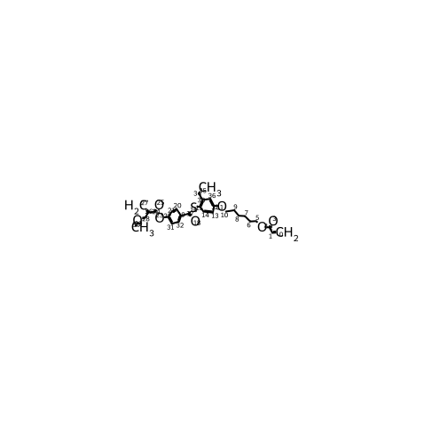 C=CC(=O)OCCCCCCOc1ccc(SC(=O)c2ccc(OC(=O)C(=C)COC)cc2)c(CC)c1